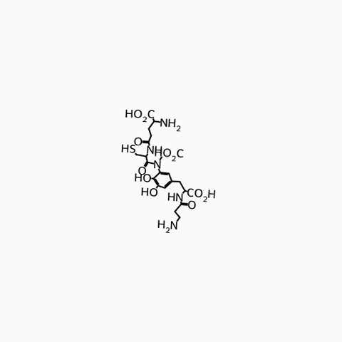 NCCC(=O)NC(Cc1cc(O)c(O)c(N(CC(=O)O)C(=O)C(CS)NC(=O)CCC(N)C(=O)O)c1)C(=O)O